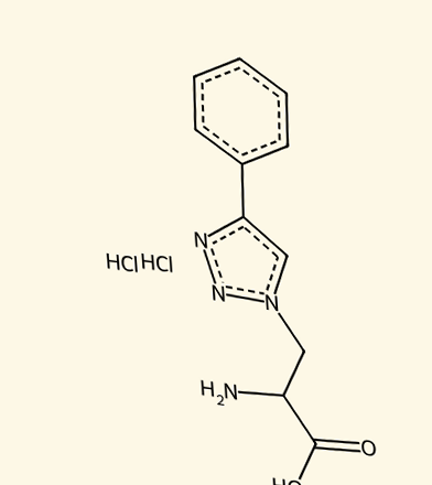 Cl.Cl.NC(Cn1cc(-c2ccccc2)nn1)C(=O)O